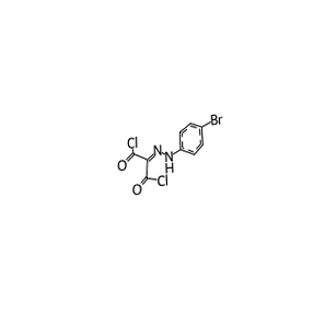 O=C(Cl)C(=NNc1ccc(Br)cc1)C(=O)Cl